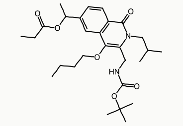 CCCCOc1c(CNC(=O)OC(C)(C)C)n(CC(C)C)c(=O)c2ccc(C(C)OC(=O)CC)cc12